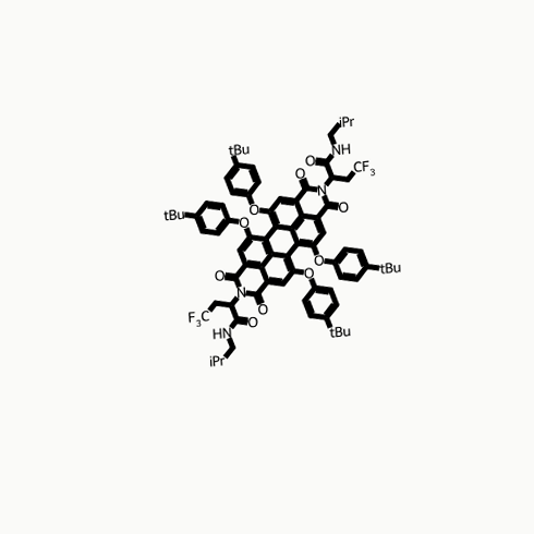 CC(C)CNC(=O)C(CC(F)(F)F)N1C(=O)c2cc(Oc3ccc(C(C)(C)C)cc3)c3c4c(Oc5ccc(C(C)(C)C)cc5)cc5c6c(cc(Oc7ccc(C(C)(C)C)cc7)c(c7c(Oc8ccc(C(C)(C)C)cc8)cc(c2c37)C1=O)c64)C(=O)N(C(CC(F)(F)F)C(=O)NCC(C)C)C5=O